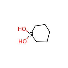 O[Si]1(O)CCCCC1